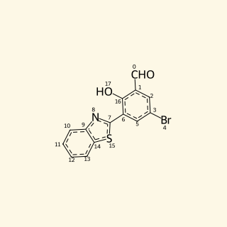 O=Cc1cc(Br)cc(-c2nc3ccccc3s2)c1O